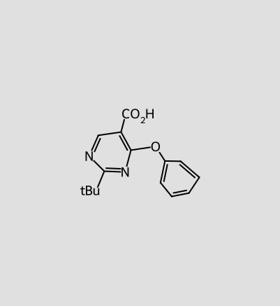 CC(C)(C)c1ncc(C(=O)O)c(Oc2ccccc2)n1